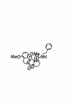 COc1ccc(OC)c2c1CCN1C(=O)[C@@H]3CCCN(C(=O)NCCc4ccccc4)[C@@H]3C[C@H]21